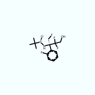 CC(C)(C)[S@@+]([O-])N[C@](CF)(c1ccccc1F)C(F)(F)CO